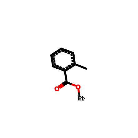 C[CH]OC(=O)c1ccccc1C